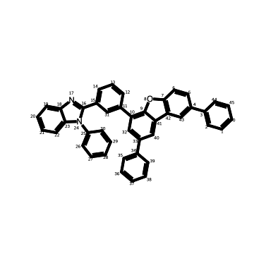 c1ccc(-c2ccc3oc4c(-c5cccc(-c6nc7ccccc7n6-c6ccccc6)c5)cc(-c5ccccc5)cc4c3c2)cc1